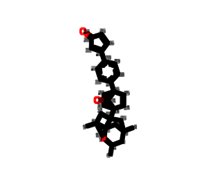 CC12CC3(C)CC4(C1)C(C)(C2)CC4(C12C=CC(c4ccc(C5=CC(=O)C=C5)cc4)(C=C1)C2=O)C3